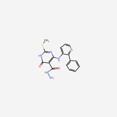 CSc1nc(Nc2cccnc2-c2ccccc2)c(C(=O)NN)c(=O)[nH]1